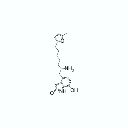 Cc1ccc(CCCCCC(N)Cc2ccc(O)c3[nH]c(=O)sc23)o1